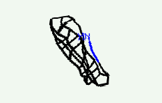 C1C2NC3CC4CC5C6CC1C17C3C3C8C9C%10C%11C%12C6C46C5C4C5C%13C%14C%15C(C21)C37C8%15C9%14C%10%13C%115C%1246